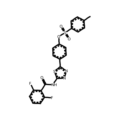 Cc1ccc(S(=O)(=O)Oc2ccc(-c3nnc(NC(=O)c4c(F)cccc4F)s3)cc2)cc1